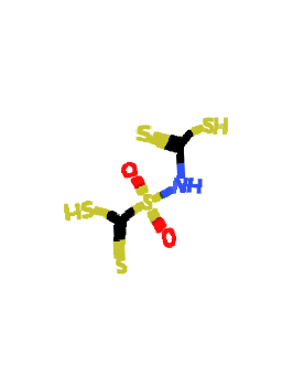 O=S(=O)(NC(=S)S)C(=S)S